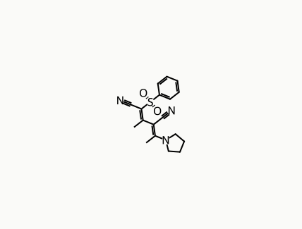 CC(/C(C#N)=C(\C)N1CCCC1)=C(\C#N)S(=O)(=O)c1ccccc1